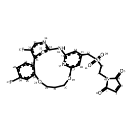 O=C1C=CC(=O)N1CCS(=O)(=O)Cc1cc2nc(c1)OCCCOc1cc(F)ccc1-c1cc(ncc1F)N2